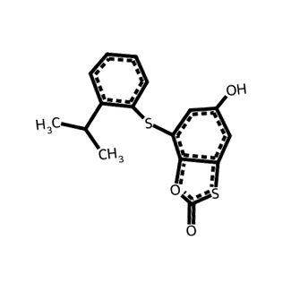 CC(C)c1ccccc1Sc1cc(O)cc2sc(=O)oc12